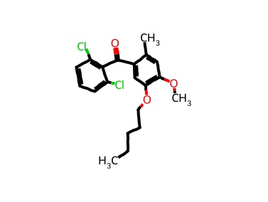 CCCCCOc1cc(C(=O)c2c(Cl)cccc2Cl)c(C)cc1OC